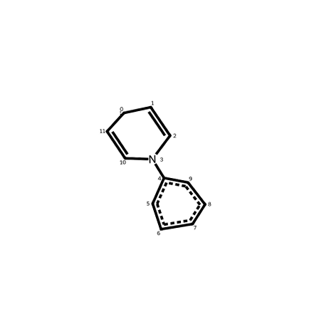 [C]1C=CN(c2ccccc2)C=C1